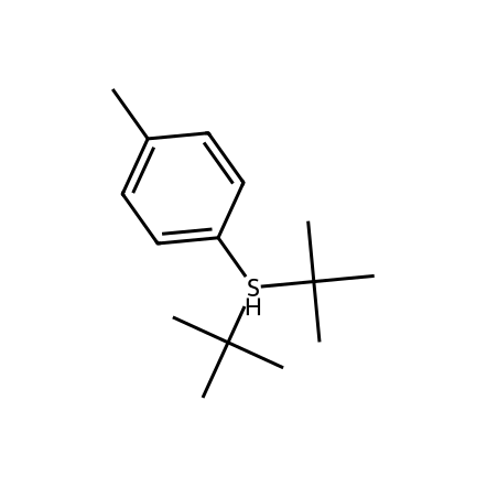 Cc1ccc([SH](C(C)(C)C)C(C)(C)C)cc1